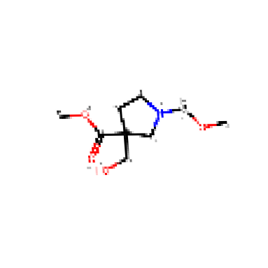 COBN1CCC(CO)(C(=O)OC)C1